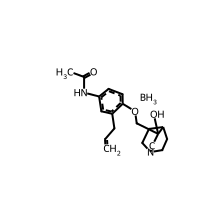 B.C=CCc1cc(NC(C)=O)ccc1OCC1(O)CN2CCC1CC2